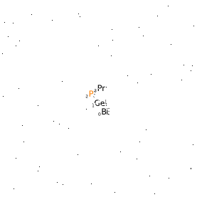 [Bi].[Ge].[P].[Pr]